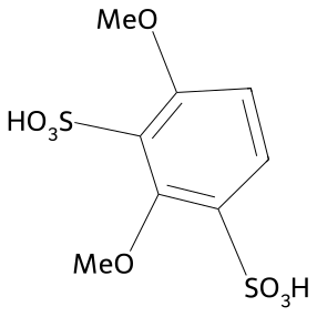 COc1ccc(S(=O)(=O)O)c(OC)c1S(=O)(=O)O